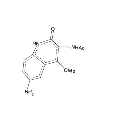 COc1c(NC(C)=O)c(=O)[nH]c2ccc(N)cc12